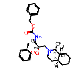 O=C(N[C@@H](Cc1ccccc1)[C@H](O)CN1CC[C@@H]2CCCC[C@@H]2[C@@H]1C(F)(F)F)OCc1ccccc1